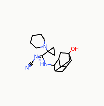 N#C/N=C(\NC1C2CC3CC1CC(O)(C3)C2)C1(N2CCCCC2)CC1